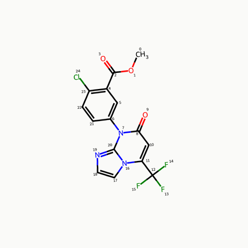 COC(=O)c1cc(-n2c(=O)cc(C(F)(F)F)n3ccnc23)ccc1Cl